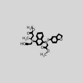 C#CCN(c1ccc(N(CC(=O)OC)Sc2ccc3c(c2)CCO3)c2ccccc12)[C@@H](C)CC(=O)OC